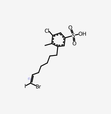 Cc1c(Cl)cc(S(=O)(=O)O)cc1CCCCC/C=C(\Br)I